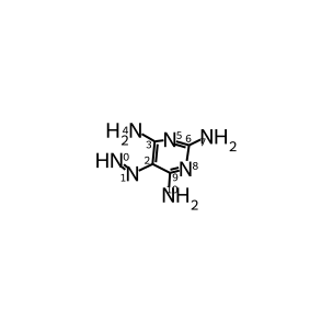 N=Nc1c(N)nc(N)nc1N